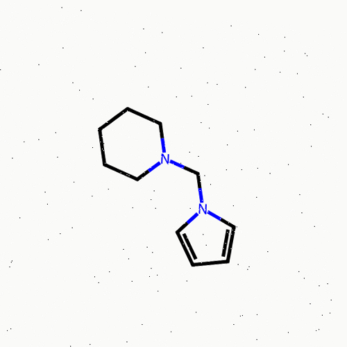 c1ccn(CN2CCCCC2)c1